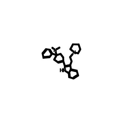 CN(C)C1(c2ccccc2)CC=C(c2[nH]c3ccccc3c2CCN2CCCCC2)CC1